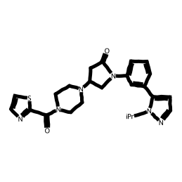 CC(C)n1nccc1-c1cccc(N2CC(N3CCN(C(=O)c4nccs4)CC3)CC2=O)c1